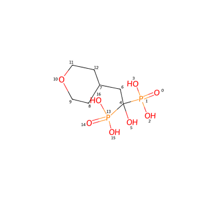 O=P(O)(O)C(O)(CC1CCOCC1)P(=O)(O)O